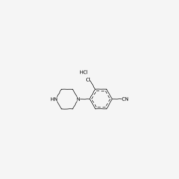 Cl.N#Cc1ccc(N2CCNCC2)c(Cl)c1